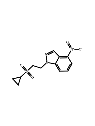 O=[N+]([O-])c1cccc2c1cnn2CCS(=O)(=O)C1CC1